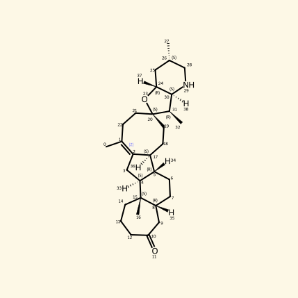 C/C1=C2\C[C@H]3[C@@H](CC[C@@H]4CC(=O)CCC[C@@]43C)[C@@H]2CC[C@@]2(CC1)O[C@@H]1C[C@H](C)CN[C@H]1[C@H]2C